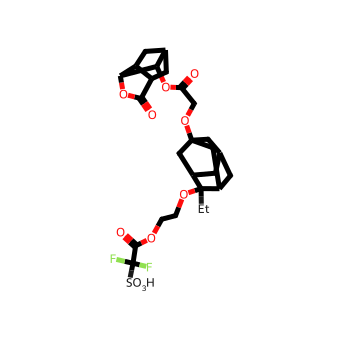 CCC1(OCCOC(=O)C(F)(F)S(=O)(=O)O)C2CC3CC1CC(OCC(=O)OC1C4CC5C(=O)OC1C5C4)(C3)C2